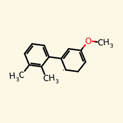 COC1=CC[CH]C(c2cccc(C)c2C)=C1